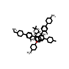 CC1CCC(c2ccc(C(O)(c3ccc(C4CCC(CN)CC4)cc3F)[C@@H]3OC(C)(C)O[C@H]3C(O)(c3ccc(C4CCC(N)CC4)cc3F)c3ccc(C4CCC(N)CC4)cc3F)c(F)c2)CC1